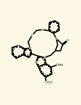 COc1cc(C(=O)O)cc2nc3n(c12)CC1CC(=O)N(C1)c1ccccc1CCCCn1c-3cc2cccnc21